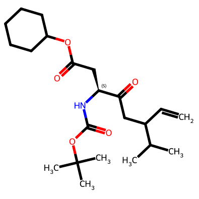 C=CC(CC(=O)[C@H](CC(=O)OC1CCCCC1)NC(=O)OC(C)(C)C)C(C)C